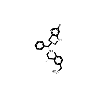 Cc1ccc(CC(=O)O)cc1[C@H](C)CN[C@H](c1ccccc1)[C@@H]1CNc2cc(F)cnc2C1